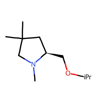 CC(C)OC[C@@H]1CC(C)(C)CN1C